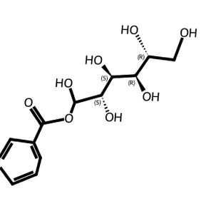 O=C(OC(O)[C@@H](O)[C@@H](O)[C@H](O)[C@H](O)CO)c1cccnc1